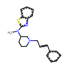 CN(c1nc2ccccc2s1)C1CCCN(C/C=C/c2ccccc2)C1